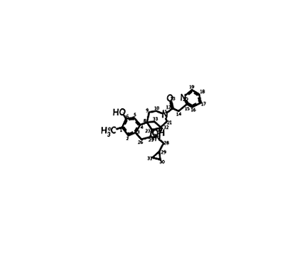 Cc1cc2c(cc1O)C13CCN(C(=O)Cc4ccccn4)CCC1(O)C(C2)N(CC1CC1)CC3